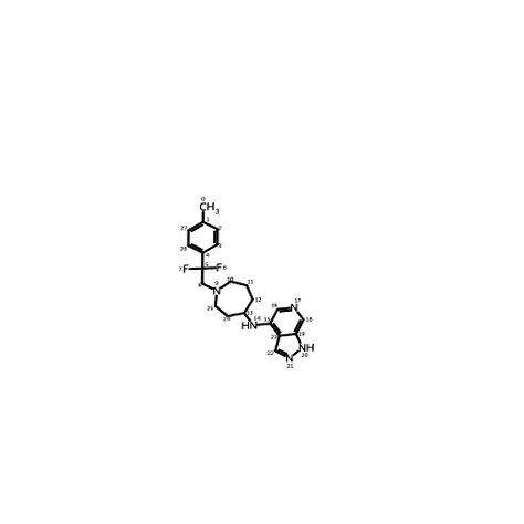 Cc1ccc(C(F)(F)CN2CCCC(Nc3cncc4[nH]ncc34)CC2)cc1